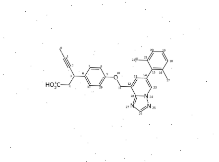 CC#CC(CC(=O)O)c1ccc(OCc2cc(-c3c(C)cccc3F)cn3ncnc23)cc1